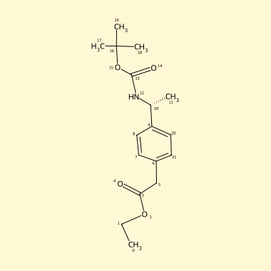 CCOC(=O)Cc1ccc([C@@H](C)NC(=O)OC(C)(C)C)cc1